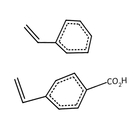 C=Cc1ccc(C(=O)O)cc1.C=Cc1ccccc1